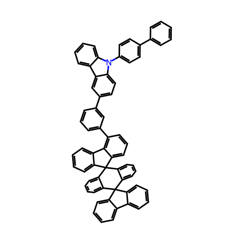 c1ccc(-c2ccc(-n3c4ccccc4c4cc(-c5cccc(-c6cccc7c6-c6ccccc6C76c7ccccc7C7(c8ccccc8-c8ccccc87)c7ccccc76)c5)ccc43)cc2)cc1